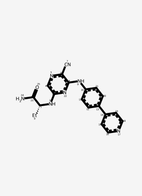 CC[C@@H](Nc1cnc(C#N)c(Nc2ccc(-c3ccncc3)cc2)n1)C(N)=O